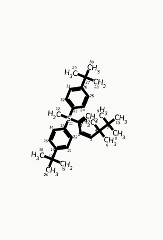 C=C(/C=C\C(C)(C)C(C)(C)C)S(C)(c1ccc(C(C)(C)C)cc1)c1ccc(C(C)(C)C)cc1